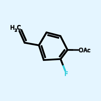 C=Cc1ccc(OC(C)=O)c(F)c1